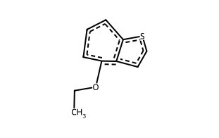 CCOc1cccc2sccc12